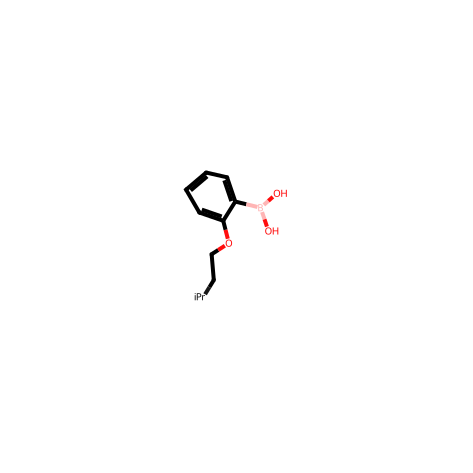 CC(C)CCOc1ccccc1B(O)O